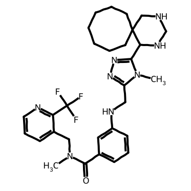 CN(Cc1cccnc1C(F)(F)F)C(=O)c1cccc(NCc2nnc(C3NCNCC34CCCCCCC4)n2C)c1